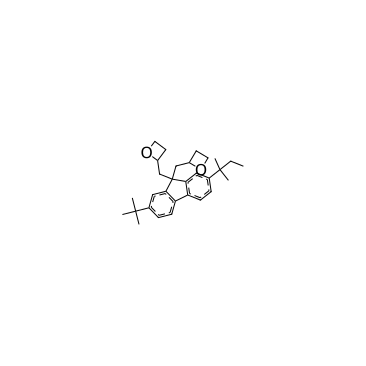 CCC(C)(C)c1ccc2c(c1)C(CC1CCO1)(CC1CCO1)c1cc(C(C)(C)C)ccc1-2